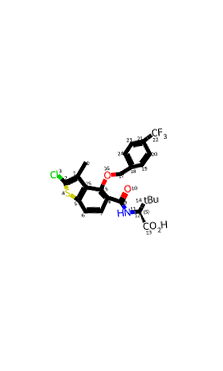 Cc1c(Cl)sc2ccc(C(=O)N[C@H](C(=O)O)C(C)(C)C)c(OCc3ccc(C(F)(F)F)cc3)c12